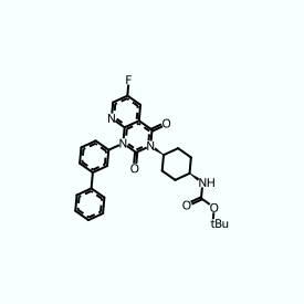 CC(C)(C)OC(=O)N[C@H]1CC[C@@H](n2c(=O)c3cc(F)cnc3n(-c3cccc(-c4ccccc4)c3)c2=O)CC1